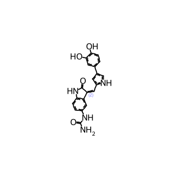 NC(=O)Nc1ccc2c(c1)/C(=C/c1cc(-c3ccc(O)c(O)c3)c[nH]1)C(=O)N2